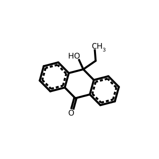 CCC1(O)c2ccccc2C(=O)c2ccccc21